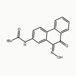 CC(C)(C)C(=O)Nc1ccc2c(c1)/C(=N/O)C(=O)c1ccccc1-2